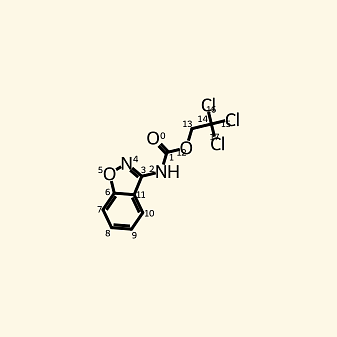 O=C(Nc1noc2ccccc12)OCC(Cl)(Cl)Cl